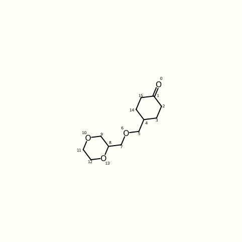 O=C1CCC(COCC2COCCO2)CC1